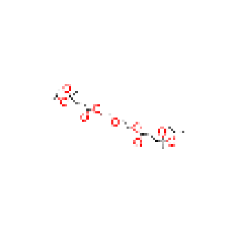 CC1COC(C)(CCC(=O)OCCOCCOC(=O)CCC2(C)OCC(C)O2)O1